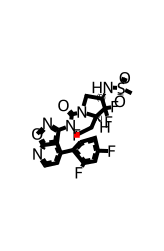 CS(=O)(=O)N[C@@H]1CN2C(=O)N(c3noc4nccc(-c5c(F)cc(F)cc5F)c34)CC[C@@H]2C1(F)F